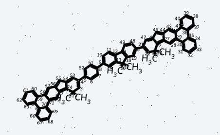 CC1(C)C=C(c2ccc(-c3ccc4c(c3)C(C)(C)c3cc(C5=CC(C)(C)C6=c7cc8c9ccccc9c9ccccc9c8cc7=CC6=C5)ccc3-4)cc2)C=C2C=c3cc4c5ccccc5c5ccccc5c4cc3=C21